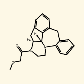 COCC(=O)N1CCN2c3ccccc3Cc3cccc4c3[C@H]2[C@@H]1C4